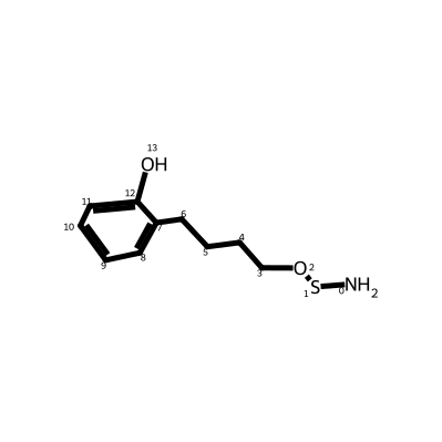 NSOCCCCc1ccccc1O